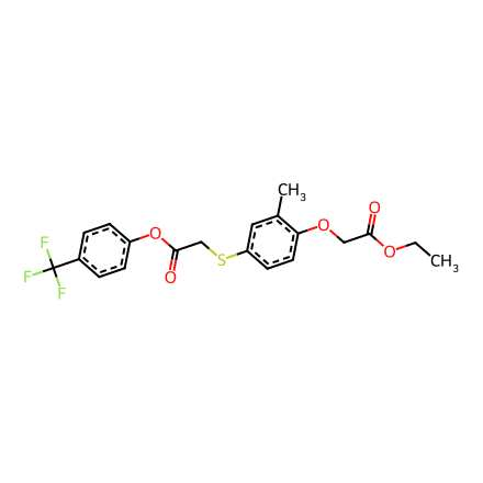 CCOC(=O)COc1ccc(SCC(=O)Oc2ccc(C(F)(F)F)cc2)cc1C